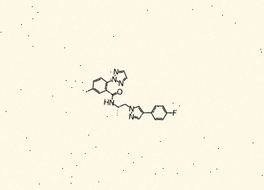 Cc1ccc(-n2nccn2)c(C(=O)N[C@@H](C)Cn2cc(-c3ccc(F)cc3)cn2)c1